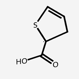 O=C(O)[C]1CC=CS1